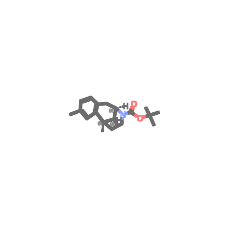 Cc1ccc2c(c1)[C@@]1(C)CCN(C(=O)OC(C)(C)C)[C@H](C2)[C@@H]1C